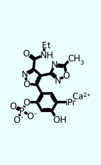 CCNC(=O)c1noc(-c2cc(C(C)C)c(O)cc2OP(=O)([O-])[O-])c1-c1noc(C)n1.[Ca+2]